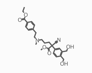 CCOC(=O)c1ccc(CCN(C)CCCC(C#N)(C(=O)OC)c2ccc(CO)c(CO)c2)cc1